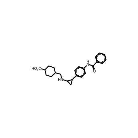 O=C(Nc1ccc(C2CC2NCC2CCC(C(=O)O)CC2)cc1)c1ccccc1